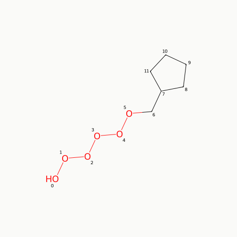 OOOOOOCC1CCCC1